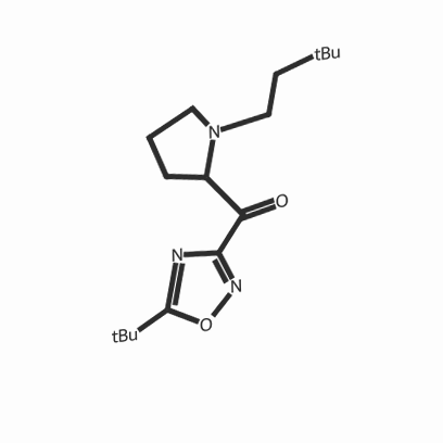 CC(C)(C)CCN1CCCC1C(=O)c1noc(C(C)(C)C)n1